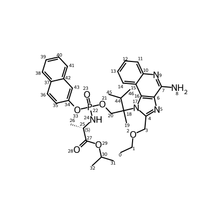 CCOCc1nc2c(N)nc3ccccc3c2n1C(C)(COP(=O)(N[C@@H](C)C(=O)OC(C)C)Oc1ccc2ccccc2c1)C(C)C